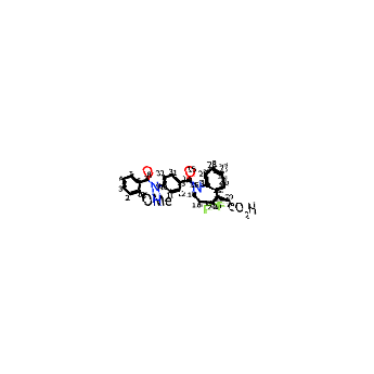 COc1ccccc1C(=O)Nc1ccc(C(=O)N2CCC(F)(F)C(=CC(=O)O)c3ccccc32)cc1